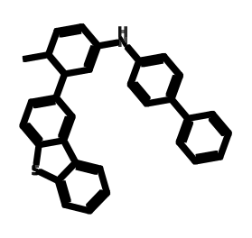 CC1C=CC(Nc2ccc(-c3ccccc3)cc2)=CC1c1ccc2sc3ccccc3c2c1